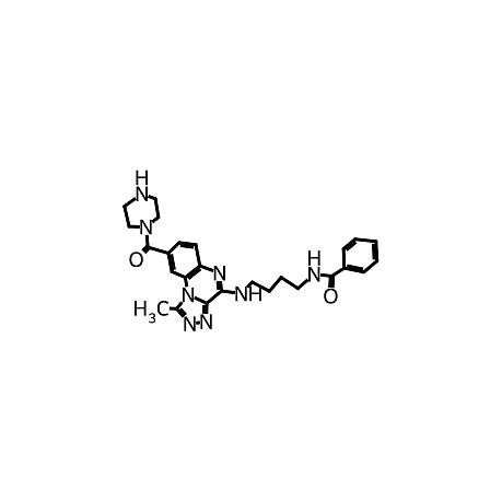 Cc1nnc2c(NCCCCNC(=O)c3ccccc3)nc3ccc(C(=O)N4CCNCC4)cc3n12